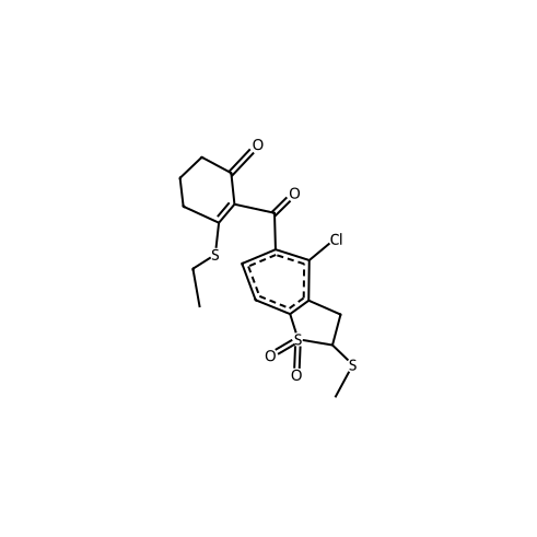 CCSC1=C(C(=O)c2ccc3c(c2Cl)CC(SC)S3(=O)=O)C(=O)CCC1